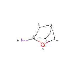 IC12CC(CO1)C2